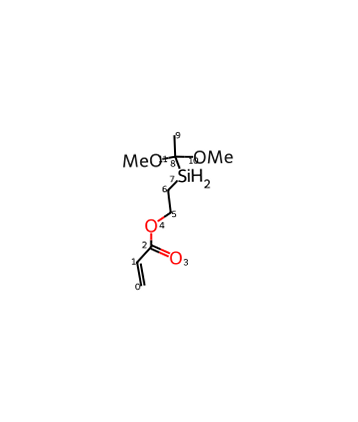 C=CC(=O)OCC[SiH2]C(C)(OC)OC